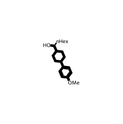 CCCCCC[C@H](O)C1CCC(c2ccc(OC)cc2)CC1